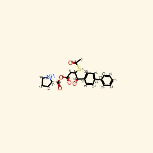 CC(=O)SC(CC(=O)OC(=O)[C@@H]1CCCN1)C(=O)c1ccc(-c2ccccc2)cc1